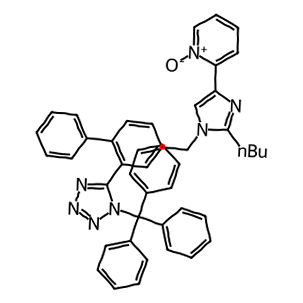 CCCCc1nc(-c2cccc[n+]2[O-])cn1Cc1ccc(-c2ccccc2)c(-c2nnnn2C(c2ccccc2)(c2ccccc2)c2ccccc2)c1